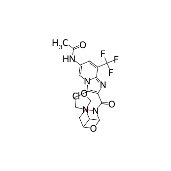 CC(=O)Nc1cc(C(F)(F)F)c2nc(C(=O)N3CCC4OC3C4N3CCOC3)c(Cl)n2c1